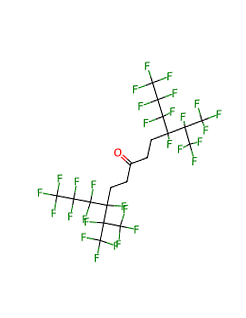 O=C(CCC(F)(C(F)(F)C(F)(F)C(F)(F)F)C(F)(C(F)(F)F)C(F)(F)F)CCC(F)(C(F)(F)C(F)(F)C(F)(F)F)C(F)(C(F)(F)F)C(F)(F)F